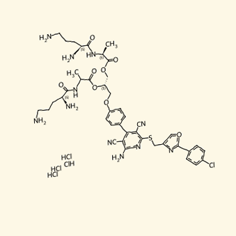 CC(NC(=O)[C@@H](N)CCCN)C(=O)O[C@H](COC(=O)[C@H](C)NC(=O)[C@@H](N)CCCN)COc1ccc(-c2c(C#N)c(N)nc(SCc3coc(-c4ccc(Cl)cc4)n3)c2C#N)cc1.Cl.Cl.Cl.Cl